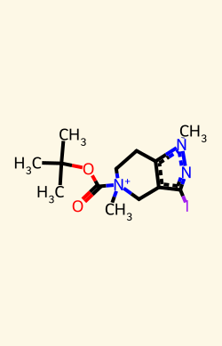 Cn1nc(I)c2c1CC[N+](C)(C(=O)OC(C)(C)C)C2